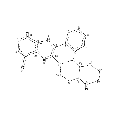 O=c1cc[nH]c2nc(-c3ccccc3)c(C3CCC4NCCCC4C3)nc12